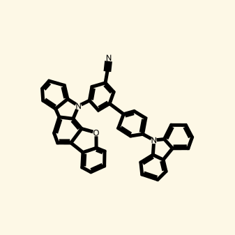 N#Cc1cc(-c2ccc(-n3c4ccccc4c4ccccc43)cc2)cc(-n2c3ccccc3c3ccc4c5ccccc5oc4c32)c1